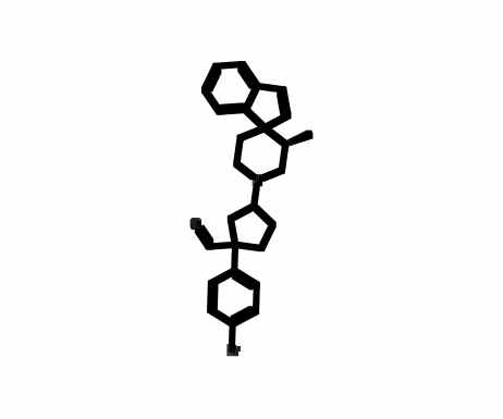 C[C@H]1CN(C2CCC(C=O)(c3ccc(Br)cc3)C2)CCC12C=Cc1ccccc12